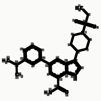 CCS(=O)(=O)N1CCC(c2c[nH]c3c(C(N)=O)cc(-c4ccnc(N(C)C)c4)cc23)CC1